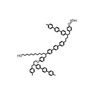 CCCCCCCCCCCOc1ccc(CC(CCCc2ccc(-c3ccc(-c4ccc(C(CCCCCCCCCCCO)Cc5ccc(OCCC(Cc6ccc(C)cc6)c6ccc(-c7ccc(-c8ccc(C)cc8)cc7)cc6)cc5)cc4)cc3)cc2)c2ccc(-c3ccc(-c4ccc(C)cc4)cc3)cc2)cc1